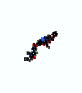 CCn1cc(C(=O)O)c(=O)c2cc(F)c(N3CCN(C(=O)OCc4ccc(NC(=O)[C@H](C)c5nnc6n5C(=O)N(C(=O)OCc5ccccc5)C6C(C)C)cc4)CC3)cc21